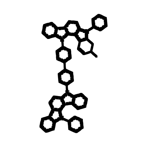 CC1C=Cc2c(n(-c3ccccc3)c3ccc4c5ccccc5n(-c5ccc(-c6ccc(-n7c8ccccc8c8c7ccc7c9ccccc9n(-c9ccccc9)c78)cc6)cc5)c4c23)C1